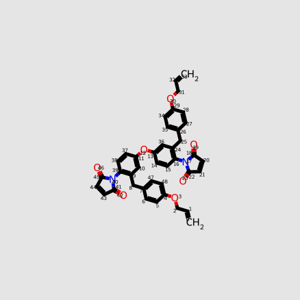 C=CCOc1ccc(Cc2cc(Oc3ccc(N4C(=O)C=CC4=O)c(Cc4ccc(OCC=C)cc4)c3)ccc2N2C(=O)C=CC2=O)cc1